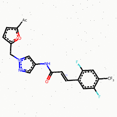 CC(=O)c1ccc(Cn2cc(NC(=O)/C=C/c3cc(F)c(C(F)(F)F)cc3F)cn2)o1